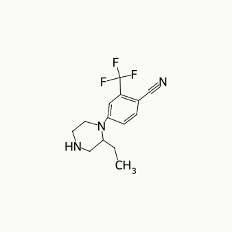 CCC1CNCCN1c1ccc(C#N)c(C(F)(F)F)c1